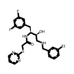 CCc1cccc(CNC[C@H](O)[C@H](Cc2cc(F)cc(F)c2)NC(=O)CSc2ncccn2)c1